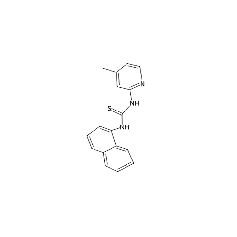 Cc1ccnc(NC(=S)Nc2cccc3ccccc23)c1